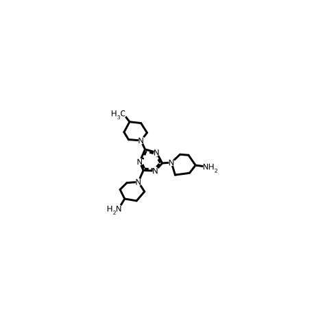 CC1CCN(c2nc(N3CCC(N)CC3)nc(N3CCC(N)CC3)n2)CC1